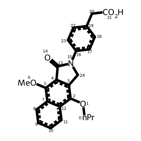 CCCOc1c2c(c(OC)c3ccccc13)C(=O)N(c1ccc(CC(=O)O)cc1)C2